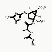 CCOC(=O)[C@H]1[C@H]2[C@@H]1[C@](NC(=O)[C@H](C)NC(=O)OC(C)(C)C)(C(=O)OCC)C[C@H]2Sc1n[nH]c(C(F)(F)F)n1